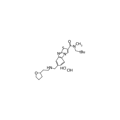 CN(CC(C)(C)C)C(=O)c1cn2c(nc3cc(CNCCC4CCCO4)ccc32)s1.Cl.Cl